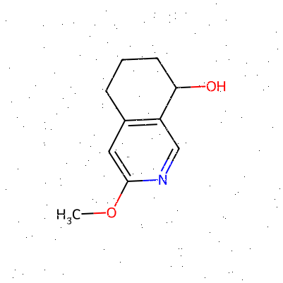 COc1cc2c(cn1)C(O)CCC2